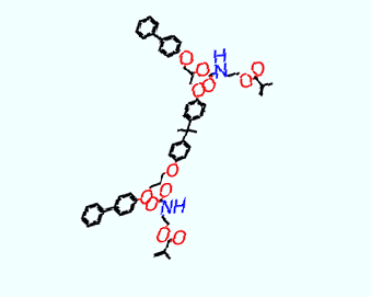 C=C(C)C(=O)OCCNC(=O)OC(COc1ccc(-c2ccccc2)cc1)COc1ccc(C(C)(C)c2ccc(OCC(COc3ccc(-c4ccccc4)cc3)OC(=O)NCCOC(=O)C(=C)C)cc2)cc1